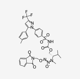 Cc1ccc(-c2cc(C(F)(F)F)nn2-c2ccc(S(=O)(=O)NC(=O)OC[C@H](C(C)C)N(C)[N+]([O-])=NOCN3C(=O)c4ccccc4C3=O)cc2)cc1